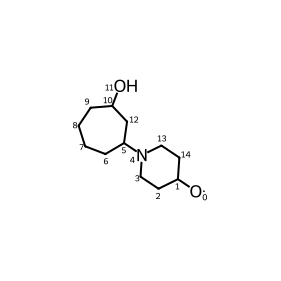 [O]C1CCN(C2CCCCC(O)C2)CC1